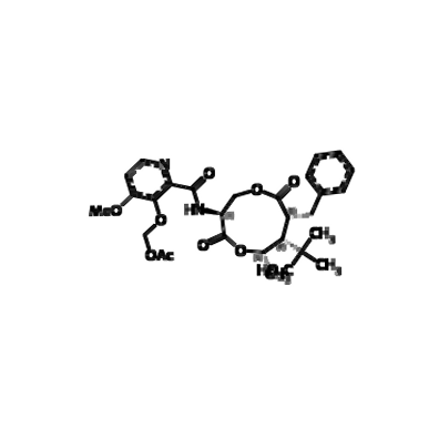 COc1ccnc(C(=O)N[C@H]2COC(=O)[C@H](Cc3ccccc3)[C@H](C(C)(C)C(=O)O)[C@H](C)OC2=O)c1OCOC(C)=O